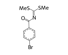 CSC(=NC(=O)c1ccc(Br)cc1)SC